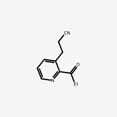 CCC(=O)c1ncccc1CCC#N